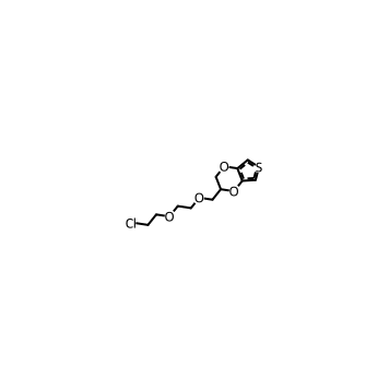 ClCCOCCOCC1COc2cscc2O1